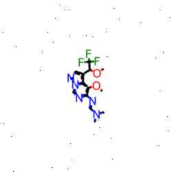 COc1c(N=CN(C)C)ncn2ncc(C(OC)C(F)(F)F)c12